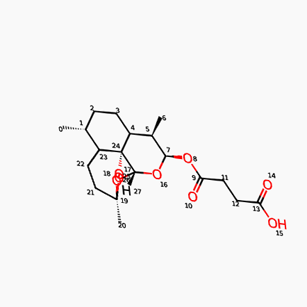 C[C@@H]1CCC2[C@@H](C)[C@@H](OC(=O)CCC(=O)O)O[C@@H]3O[C@]4(C)CCC1[C@@]23OO4